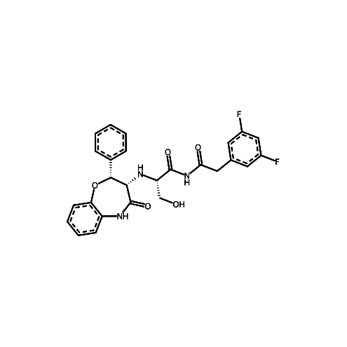 O=C(Cc1cc(F)cc(F)c1)NC(=O)[C@H](CO)N[C@@H]1C(=O)Nc2ccccc2O[C@@H]1c1ccccc1